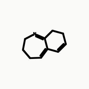 C1=CC2=CCCCN=C2CC1